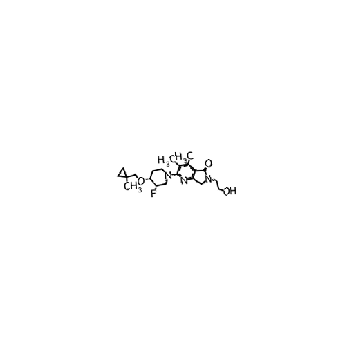 Cc1c(N2CC[C@@H](OCC3(C)CC3)[C@@H](F)C2)nc2c(c1C)C(=O)N(CCO)C2